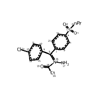 CCCS(=O)(=O)c1ccc(C(c2ccc(Cl)cc2)=[N+](N)C(=O)CC)cc1